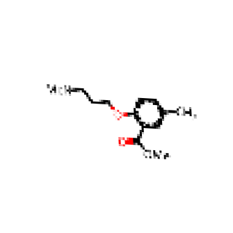 CNCCCOc1ccc(C)cc1C(=O)OC